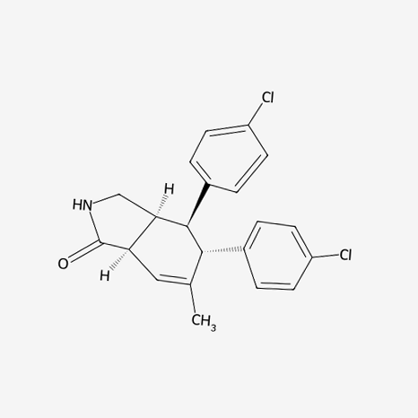 CC1=C[C@H]2C(=O)NC[C@H]2[C@@H](c2ccc(Cl)cc2)[C@@H]1c1ccc(Cl)cc1